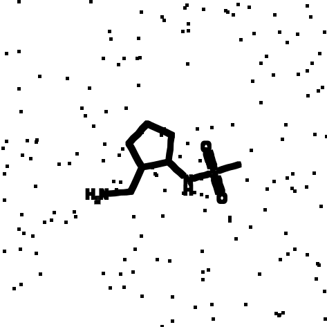 CS(=O)(=O)NC1CCCC1CN